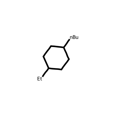 CCCCC1CCC(CC)CC1